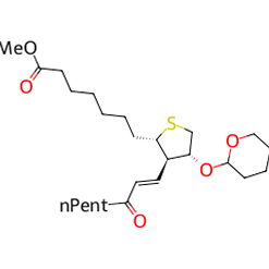 CCCCCC(=O)C=C[C@@H]1[C@@H](OC2CCCCO2)CS[C@H]1CCCCCCC(=O)OC